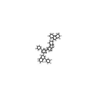 c1ccc(-c2nc(-c3cc(-c4ccccc4)c4ccccc4c3)nc(-c3cnc4oc5cc(-c6cc7ccccc7c7ccccc67)ccc5c4n3)n2)cc1